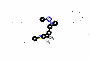 CC1(C)c2ccc(-c3ccc4c(c3)c3ccccc3n4-c3ncnc(-c4ccccc4)n3)cc2-c2cc3nc(-c4ccccc4)sc3cc21